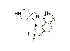 Fc1c(CC(F)(F)F)ccc2ncnc(N3CC4(CCNCC4)C3)c12